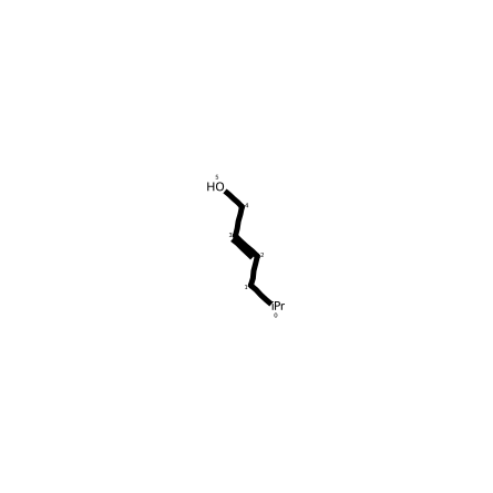 CC(C)CC=CCO